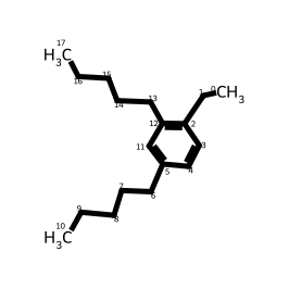 C[CH]c1ccc(CCCCC)cc1CCCCC